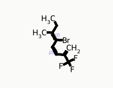 C=C(/C=C\C(Br)=C(/C)CC)C(F)(F)F